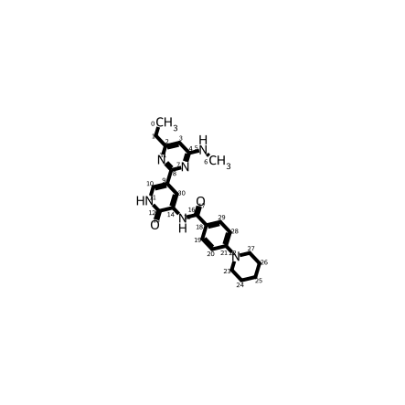 CCc1cc(NC)nc(-c2c[nH]c(=O)c(NC(=O)c3ccc(N4CCCCC4)cc3)c2)n1